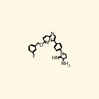 N=C1C(N)CCN1c1ccc(-c2cnc3ccc(OCc4cccc(F)c4)nn23)cc1